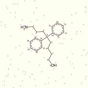 NCCCC(CCCCO)(c1ccccc1)c1ccccc1